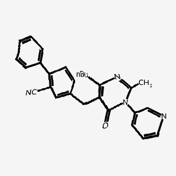 CCCCc1nc(C)n(-c2cccnc2)c(=O)c1Cc1ccc(-c2ccccc2)c(C#N)c1